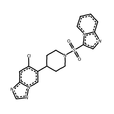 O=S(=O)(c1cnc2ccccn12)N1CCC(c2cn3ncnc3cc2Cl)CC1